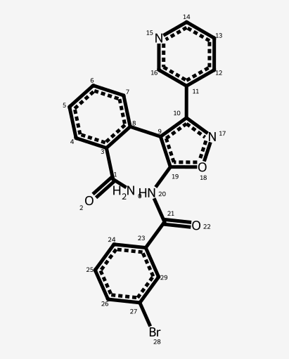 NC(=O)c1ccccc1-c1c(-c2cccnc2)noc1NC(=O)c1cccc(Br)c1